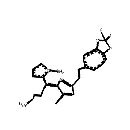 Bn1cccc1/C(CCN)=C1N=C(/C=C/c2ccc3c(c2)OC(F)(F)O3)C=C\1C